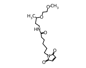 COCCOC(C)CCNC(=O)CCCCCN1C(=O)C=CC1=O